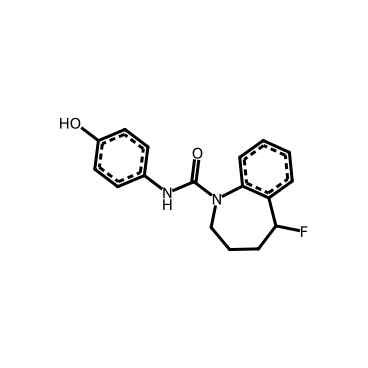 O=C(Nc1ccc(O)cc1)N1CCCC(F)c2ccccc21